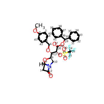 COc1ccc(CO[C@@H]([C@H]2CN3C(=O)C[C@@H]3O2)[C@@H](OS(=O)(=O)C(F)(F)F)C(=O)OC(c2ccccc2)c2ccccc2)cc1